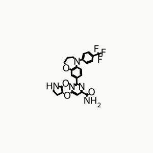 NC(=O)c1cc(O[C@H]2CCNC2=O)nc(-c2ccc3c(c2)OCCCN3c2ccc(C(F)(F)F)cc2)n1